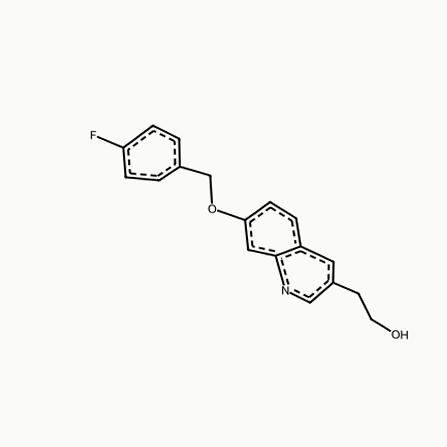 OCCc1cnc2cc(OCc3ccc(F)cc3)ccc2c1